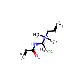 C=CC[N+](C)(C)C(C)NC(=O)C=C.[Cl-]